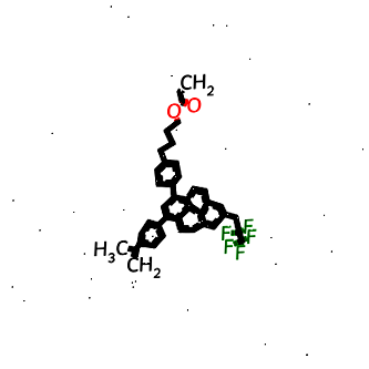 C=CC(=O)OCCCCc1ccc(-c2cc(-c3ccc(C(=C)C)cc3)c3ccc4cc(CC(F)(F)C(F)(F)F)cc5ccc2c3c54)cc1